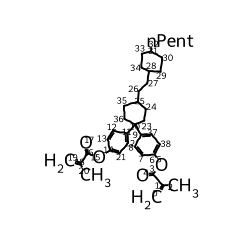 C=C(C)C(=O)Oc1ccc(C2(c3ccc(OC(=O)C(=C)C)cc3)CCC(CCC3CCC(CCCCC)CC3)CC2)cc1